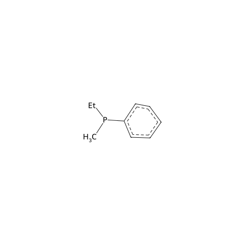 CCP(C)c1ccccc1